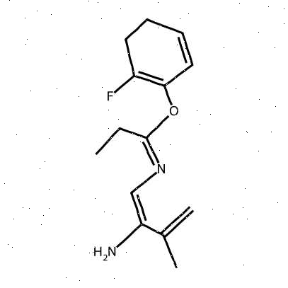 C=C(C)/C(N)=C\N=C(/CC)OC1=C(F)CCC=C1